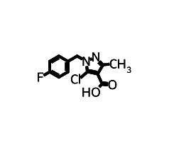 Cc1nn(Cc2ccc(F)cc2)c(Cl)c1C(=O)O